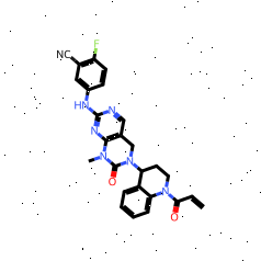 C=CC(=O)N1CCC(N2Cc3cnc(Nc4ccc(F)c(C#N)c4)nc3N(C)C2=O)c2ccccc21